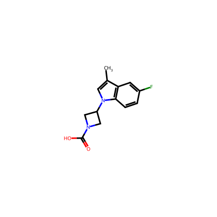 Cc1cn(C2CN(C(=O)O)C2)c2ccc(F)cc12